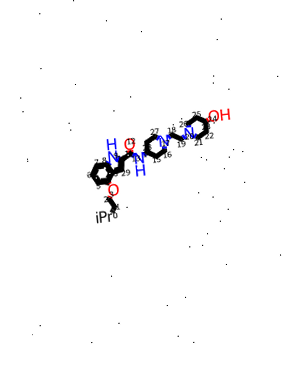 CC(C)CCOc1cccc2[nH]c(C(=O)NC3CCN(CCN4CCC(O)CC4)CC3)cc12